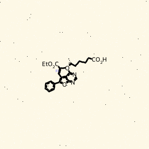 CCOC(=O)/C(C)=C/c1c(-c2ccccc2)oc2ncnc(O[C@H](C)CCCCC(=O)O)c12